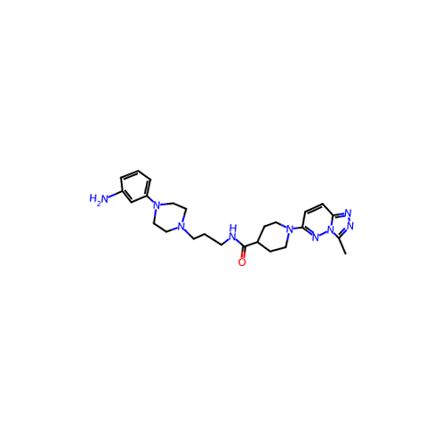 Cc1nnc2ccc(N3CCC(C(=O)NCCCN4CCN(c5cccc(N)c5)CC4)CC3)nn12